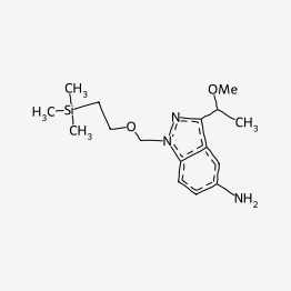 COC(C)c1nn(COCC[Si](C)(C)C)c2ccc(N)cc12